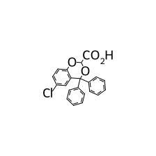 O=C(O)C1Oc2ccc(Cl)cc2C(c2ccccc2)(c2ccccc2)O1